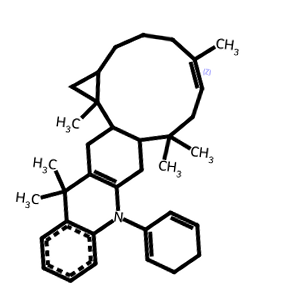 C/C1=C/CC(C)(C)C2CC3=C(CC2C2(C)CC2CCC1)C(C)(C)c1ccccc1N3C1=CCCC=C1